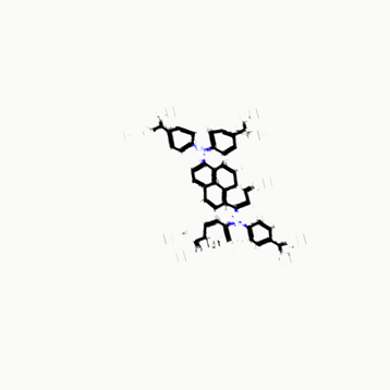 C=C/C=C(\c1ccc2ccc(N(c3ccc(C(C)C)cc3)c3ccc(C(C)C)cc3)c3c2c1CC=C3)N(C(/C=C\C(=C)C(C)C)=C/C)c1ccc(C(C)C)cc1